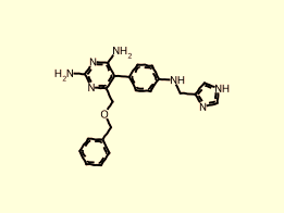 Nc1nc(N)c(-c2ccc(NCc3c[nH]cn3)cc2)c(COCc2ccccc2)n1